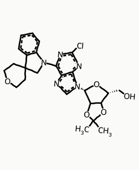 CC1(C)OC2C(O1)[C@@H](CO)O[C@H]2n1cnc2c(N3CC4(CCOCC4)c4ccccc43)nc(Cl)nc21